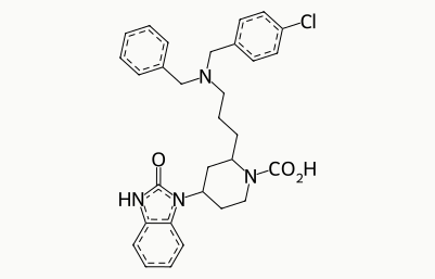 O=C(O)N1CCC(n2c(=O)[nH]c3ccccc32)CC1CCCN(Cc1ccccc1)Cc1ccc(Cl)cc1